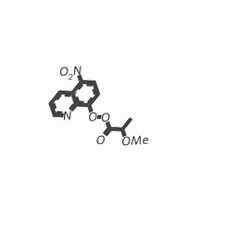 COC(C)C(=O)OOc1ccc([N+](=O)[O-])c2cccnc12